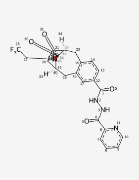 O=C(NNC(=O)c1ccccn1)c1ccc2c(c1)C[C@H]1CC[C@@H](C2)[C@]12CN(CC(F)(F)F)S(=O)(=O)N2